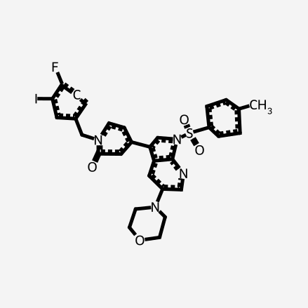 Cc1ccc(S(=O)(=O)n2cc(-c3ccn(Cc4ccc(F)c(I)c4)c(=O)c3)c3cc(N4CCOCC4)cnc32)cc1